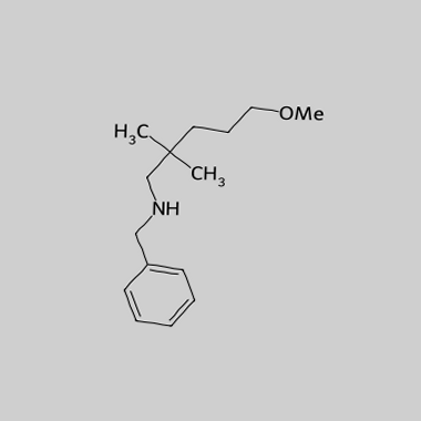 COCCCC(C)(C)CNCc1ccccc1